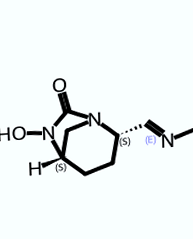 C/N=C/[C@@H]1CC[C@H]2CN1C(=O)N2O